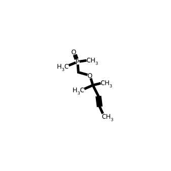 CC#CC(C)(C)OCP(C)(C)=O